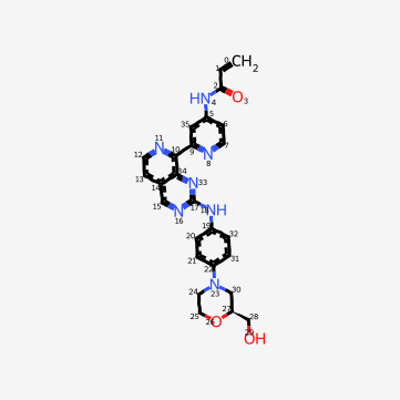 C=CC(=O)Nc1ccnc(-c2nccc3cnc(Nc4ccc(N5CCO[C@H](CO)C5)cc4)nc23)c1